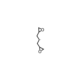 [CH](CC1CO1)CC1CO1